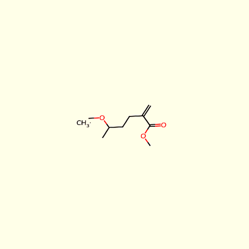 C=C(CCC(C)OC)C(=O)OC.[CH3]